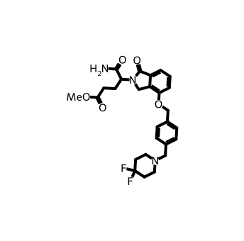 COC(=O)CCC(C(N)=O)N1Cc2c(OCc3ccc(CN4CCC(F)(F)CC4)cc3)cccc2C1=O